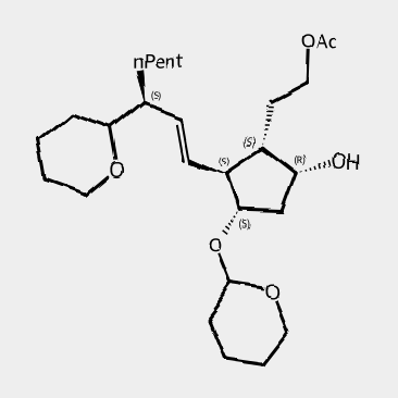 CCCCC[C@@H](C=C[C@H]1[C@H](CCOC(C)=O)[C@H](O)C[C@@H]1OC1CCCCO1)C1CCCCO1